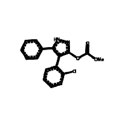 COC(=O)Oc1n[nH]c(-c2ccccc2)c1-c1ccccc1Cl